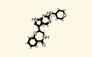 O=C1NCC(c2c[nH]c3nc(NC4CCOCC4)ncc23)Oc2ccccc21